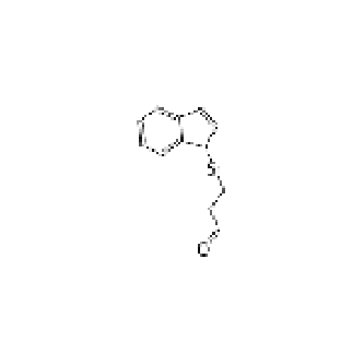 O=CC[CH2][Sr][CH]1C=Cc2ccccc21